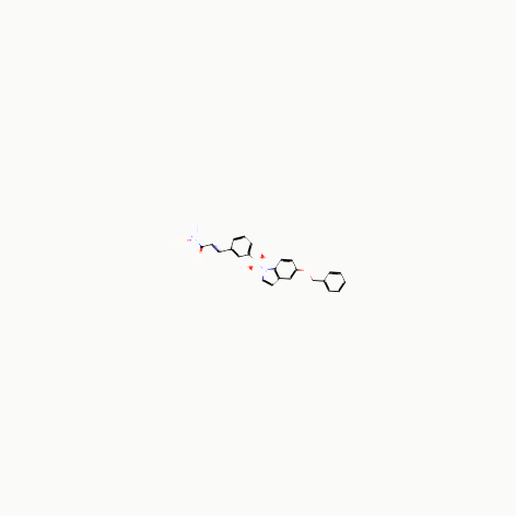 O=C(/C=C/c1cccc(S(=O)(=O)n2ccc3cc(OCc4ccccc4)ccc32)c1)NO